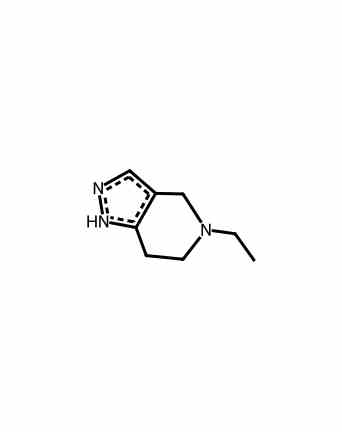 CCN1CCc2[nH]ncc2C1